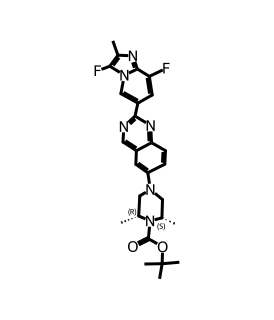 Cc1nc2c(F)cc(-c3ncc4cc(N5C[C@@H](C)N(C(=O)OC(C)(C)C)[C@@H](C)C5)ccc4n3)cn2c1F